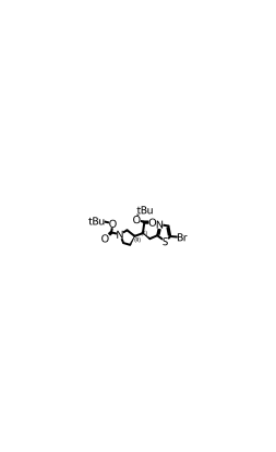 CC(C)(C)OC(=O)[C@@H](Cc1ncc(Br)s1)[C@H]1CCN(C(=O)OC(C)(C)C)C1